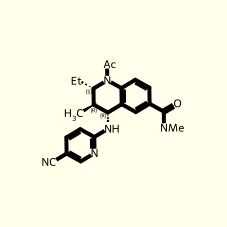 CC[C@H]1[C@H](C)[C@@H](Nc2ccc(C#N)cn2)c2cc(C(=O)NC)ccc2N1C(C)=O